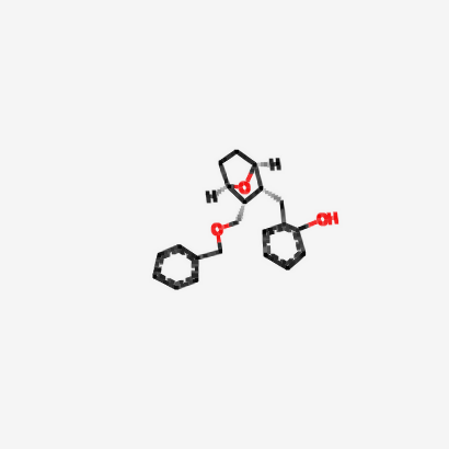 Oc1ccccc1C[C@@H]1[C@H](COCc2ccccc2)[C@H]2CC[C@@H]1O2